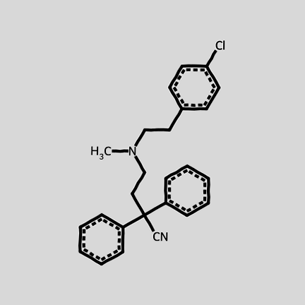 CN(CCc1ccc(Cl)cc1)CCC(C#N)(c1ccccc1)c1ccccc1